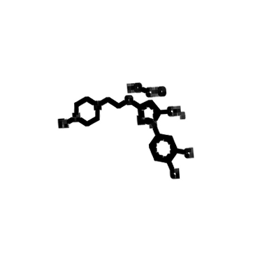 CCN1CCN(CCOc2cc(C)n(-c3ccc(Cl)c(Cl)c3)n2)CC1.O=CO